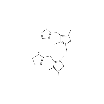 Cc1sc(C)c(CC2=NCCN2)c1C.Cc1sc(C)c(Cc2ncc[nH]2)c1C